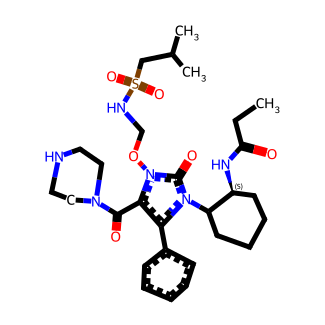 CCC(=O)N[C@H]1CCCCC1n1c(-c2ccccc2)c(C(=O)N2CCNCC2)n(OCNS(=O)(=O)CC(C)C)c1=O